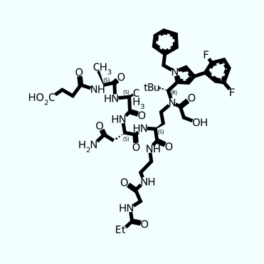 CCC(=O)NCC(=O)NCCNC(=O)[C@H](CCN(C(=O)CO)[C@@H](c1cc(-c2cc(F)ccc2F)cn1Cc1ccccc1)C(C)(C)C)NC(=O)[C@H](CC(N)=O)NC(=O)[C@H](C)NC(=O)[C@H](C)NC(=O)CCC(=O)O